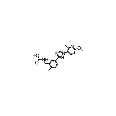 COC(=O)NCc1cc(-c2ncn(-c3ccc(OC)nc3C)n2)ccc1C